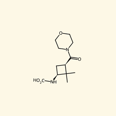 CC1(C)[C@@H](NC(=O)O)C[C@H]1C(=O)N1CCOCC1